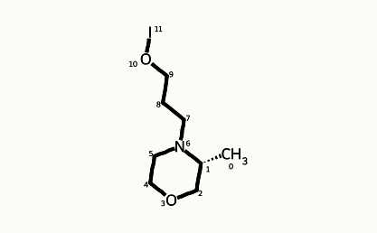 C[C@@H]1COCCN1CCCOI